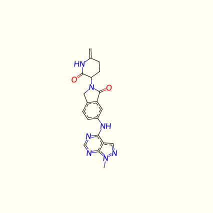 C=C1CCC(N2Cc3ccc(Nc4ncnc5c4cnn5C)cc3C2=O)C(=O)N1